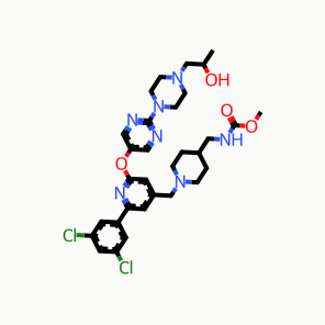 COC(=O)NCC1CCN(Cc2cc(Oc3cnc(N4CCN(CC(C)O)CC4)nc3)nc(-c3cc(Cl)cc(Cl)c3)c2)CC1